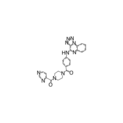 O=C(c1ccc(Nc2nc3ccccc3n3nnnc23)cc1)N1CCN(C(=O)c2ccncn2)CC1